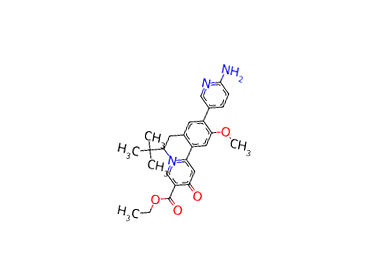 CCOC(=O)c1cn2c(cc1=O)-c1cc(OC)c(-c3ccc(N)nc3)cc1CC2C(C)(C)C